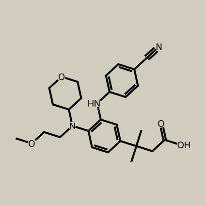 COCCN(c1ccc(C(C)(C)CC(=O)O)cc1Nc1ccc(C#N)cc1)C1CCOCC1